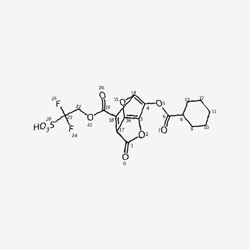 O=C1Oc2c(OC(=O)C3CCCCC3)c3oc2c1c3C(=O)OCC(F)(F)S(=O)(=O)O